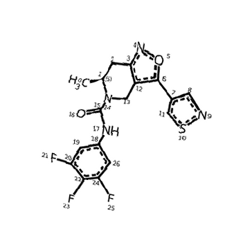 C[C@H]1Cc2noc(-c3cnsc3)c2CN1C(=O)Nc1cc(F)c(F)c(F)c1